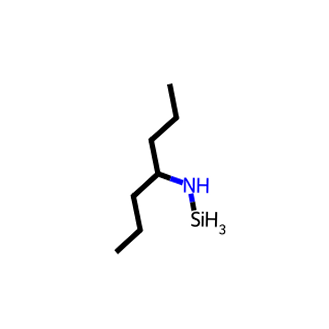 CCCC(CCC)N[SiH3]